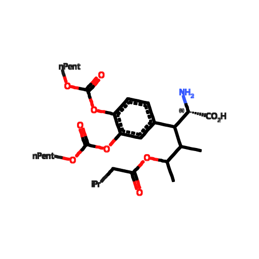 CCCCCOC(=O)Oc1ccc(C(C(C)C(C)OC(=O)CC(C)C)[C@H](N)C(=O)O)cc1OC(=O)OCCCCC